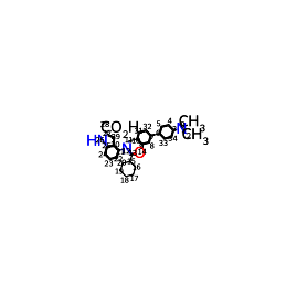 CN(C)c1ccc(-c2ccc(CN(C(=O)C3CCCCC3)c3cccc4[nH]c(C(=O)O)cc34)cc2)cc1